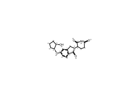 O=C1CCC(N2Cc3cc(O[C@H]4CCC[C@H]4O)ccc3C2=O)C(=O)N1